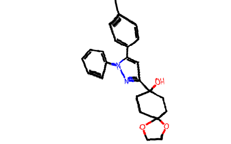 Cc1ccc(-c2cc(C3(O)CCC4(CC3)OCCO4)nn2-c2ccccc2)cc1